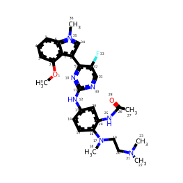 COc1cccc2c1c(-c1nc(Nc3ccc(N(C)CCN(C)C)c(NC(C)=O)c3)ncc1F)cn2C